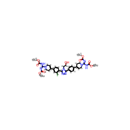 CC(C)(C)OC(=O)/N=C(/NC(=O)OC(C)(C)C)N1CC=C(c2ccc(-c3nnc(-c4ccc(C5=CCN(/C(=N\C(=O)OC(C)(C)C)NC(=O)OC(C)(C)C)CC5)cc4F)n3CCO)cc2)CC1